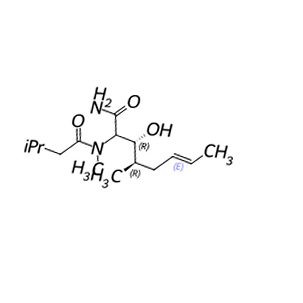 C/C=C/C[C@@H](C)[C@@H](O)C(C(N)=O)N(C)C(=O)CC(C)C